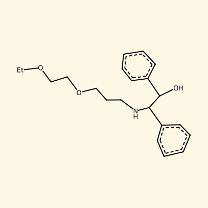 CCOCCOCCCNC(c1ccccc1)C(O)c1ccccc1